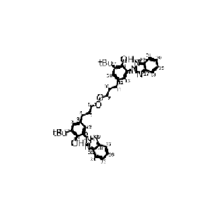 CC(C)(C)c1cc(CCCOOCCCc2cc(-n3nc4ccccc4n3)c(O)c(C(C)(C)C)c2)cc(-n2nc3ccccc3n2)c1O